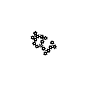 c1ccc(-c2cccc(-c3cccc(-c4nc(-c5ccc(-n6c7ccccc7c7ccc(-c8ccc9c(c8)c8ccccc8n9-c8ccccc8)cc76)cc5)nc(-c5ccc(-n6c7ccccc7c7ccc(-c8ccc9c(c8)c8ccccc8n9-c8ccccc8)cc76)cc5)n4)c3)c2)cc1